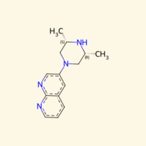 C[C@@H]1CN(c2cnc3ncccc3c2)C[C@H](C)N1